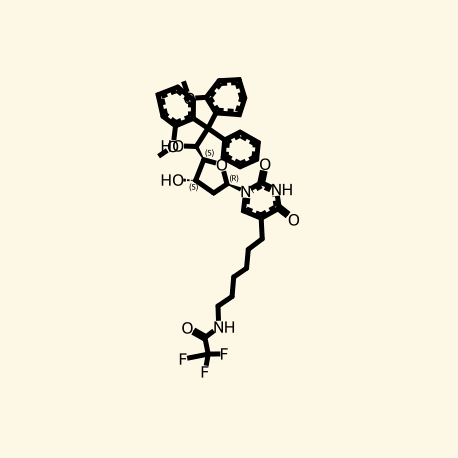 COc1ccccc1C(c1ccccc1)(c1ccccc1OC)C(O)[C@H]1O[C@@H](n2cc(CCCCCCNC(=O)C(F)(F)F)c(=O)[nH]c2=O)C[C@@H]1O